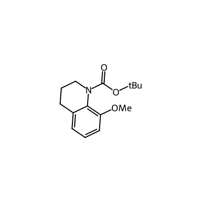 COc1cccc2c1N(C(=O)OC(C)(C)C)CCC2